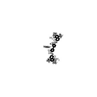 COc1cc(-c2ccc(NN=C3C=Cc4c(S(=O)(=O)[O-])cc(S(=O)(=O)[O-])c(N)c4C3=O)c(OC)c2)ccc1NN=C1C=Cc2c(S(=O)(=O)[O-])cc(S(=O)(=O)[O-])c(N)c2C1=O.[Na+].[Na+].[Na+].[Na+]